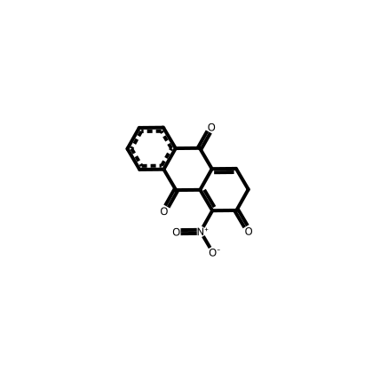 O=C1CC=C2C(=O)c3ccccc3C(=O)C2=C1[N+](=O)[O-]